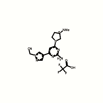 CN[C@@H]1CCN(c2cc(-c3cnn(CC#N)c3)nc(N)n2)C1.O=C(O)C(F)(F)F